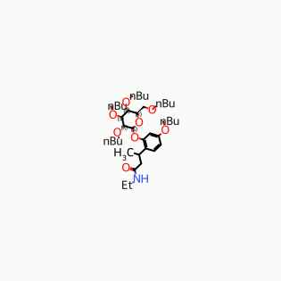 CCCCOC[C@H]1O[C@@H](Oc2cc(OCCCC)ccc2C(C)CC(=O)NCC)[C@H](OCCCC)[C@@H](OCCCC)[C@@H]1OCCCC